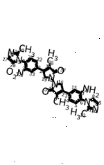 CC1=C(c2ccc(-n3ccnc3C)c(N)c2)CN(N2CC(c3ccc(-n4ccnc4C)c([N+](=O)[O-])c3)=C(C)C2=O)C1=O